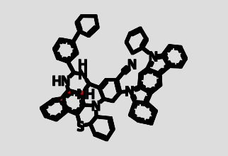 N#CC1=C(n2c3ccccc3c3cc4c5ccccc5n(C5=CC=CCC5)c4cc32)CC(N2c3ccccc3SC3C=CC=CC32)C(C2NC(c3ccccc3)NC(c3cccc(C4=CCCC=C4)c3)N2)=C1